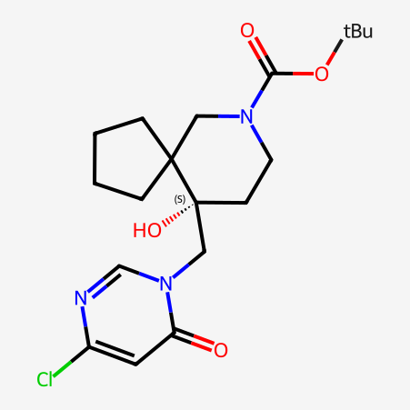 CC(C)(C)OC(=O)N1CC[C@@](O)(Cn2cnc(Cl)cc2=O)C2(CCCC2)C1